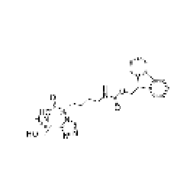 N[C@@H](CO)c1nncn1[C@@H](CCCCNC(=O)OCC1c2ccccc2-c2ccccc21)C(=O)O